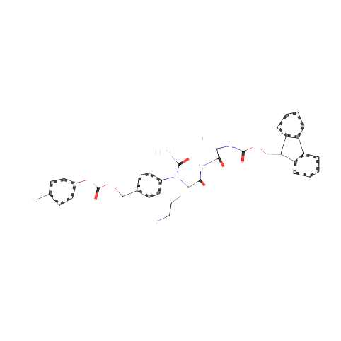 CC(C)[C@H](NC(=O)OCC1c2ccccc2-c2ccccc21)C(=O)NC(=O)[C@H](CCCN)N(C(N)=O)c1ccc(COC(=O)Oc2ccc([N+](=O)[O-])cc2)cc1